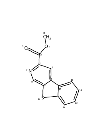 COC(=O)c1cc2c(cn1)sc1ccccc12